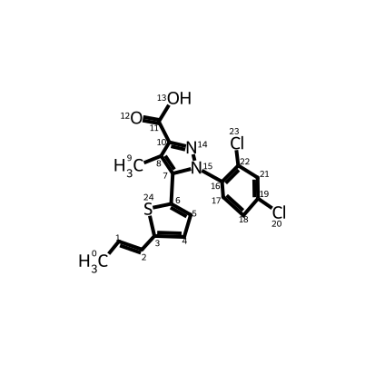 CC=Cc1ccc(-c2c(C)c(C(=O)O)nn2-c2ccc(Cl)cc2Cl)s1